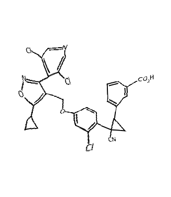 N#CC1(c2ccc(OCc3c(-c4c(Cl)cncc4Cl)noc3C3CC3)cc2Cl)CC1c1cccc(C(=O)O)c1